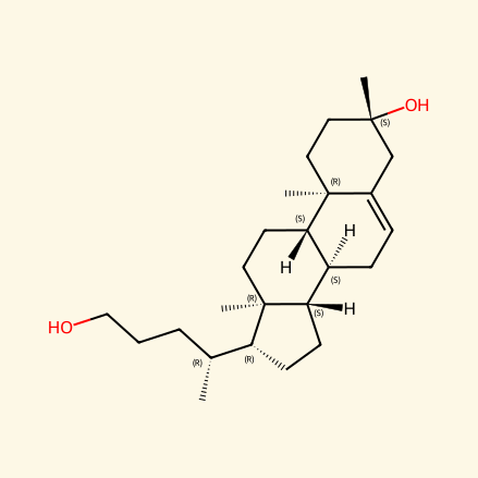 C[C@H](CCCO)[C@H]1CC[C@H]2[C@@H]3CC=C4C[C@@](C)(O)CC[C@]4(C)[C@H]3CC[C@]12C